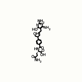 NC(=O)CC[C@H](NC(=O)c1ccc(C(CO)CCCc2c(N)nc(N)nc2O)cc1)C(=O)O